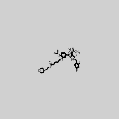 C[C@H](N)c1oc(-c2ccc(OC(F)F)c(OCCCCC(=O)OCCN3CCOCC3)c2)nc1C(=O)NCc1ccc(F)cc1F